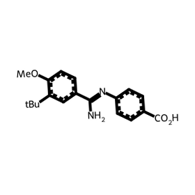 COc1ccc(C(N)=Nc2ccc(C(=O)O)cc2)cc1C(C)(C)C